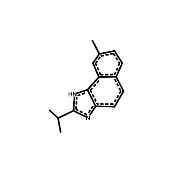 Cc1ccc2ccc3nc(C(C)C)[nH]c3c2c1